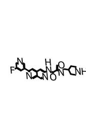 O=C(Nc1cc2cc(-c3cncc(F)c3)ncc2cn1)c1coc(C2CCNCC2)n1